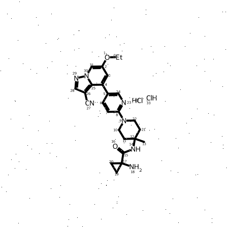 CCOc1cc(-c2ccc(N3CCC(C)(NC(=O)C4(N)CC4)CC3)nc2)c2c(C#N)cnn2c1.Cl.Cl